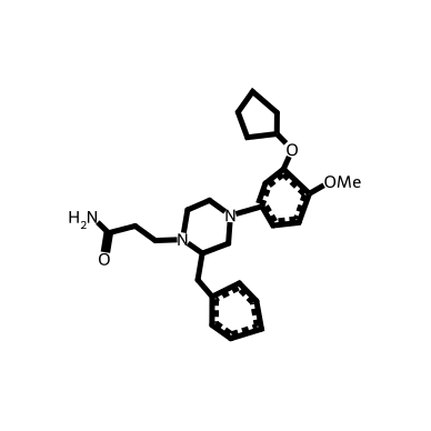 COc1ccc(N2CCN(CCC(N)=O)C(Cc3ccccc3)C2)cc1OC1CCCC1